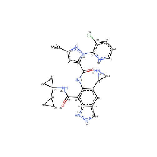 COc1cc(C(=O)Nc2c(C3CN3)cc3cn[nH]c3c2C(=O)NC2(C3CC3)CC2)n(-c2ncccc2Cl)n1